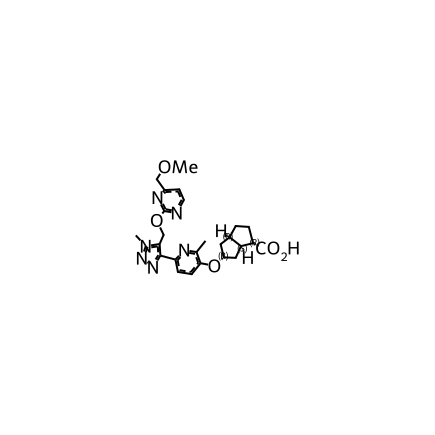 COCc1ccnc(OCc2c(-c3ccc(O[C@@H]4C[C@H]5CC[C@@H](C(=O)O)[C@H]5C4)c(C)n3)nnn2C)n1